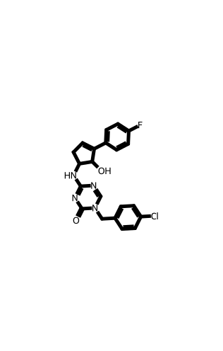 O=c1nc(NC2CC=C(c3ccc(F)cc3)C2O)ncn1Cc1ccc(Cl)cc1